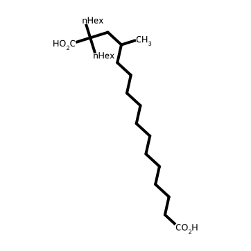 CCCCCCC(CCCCCC)(CC(C)CCCCCCCCCCCC(=O)O)C(=O)O